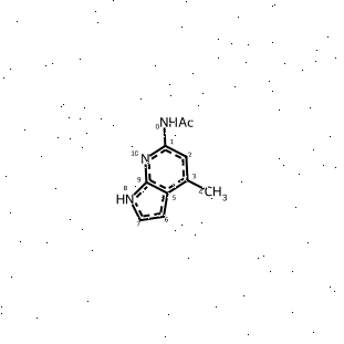 CC(=O)Nc1cc(C)c2cc[nH]c2n1